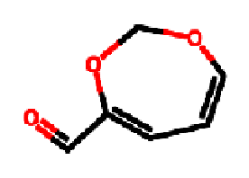 O=CC1=CC=COCO1